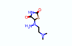 CN(C)CCN(N)C1SC(=O)NC1=O